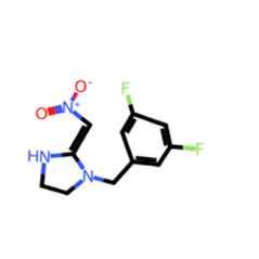 O=[N+]([O-])C=C1NCCN1Cc1cc(F)cc(F)c1